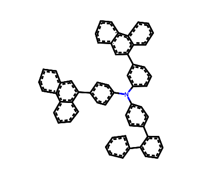 c1ccc(-c2ccccc2-c2ccc(N(c3ccc(-c4cc5ccccc5c5ccccc45)cc3)c3cccc(-c4cc5ccccc5c5ccccc45)c3)cc2)cc1